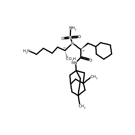 CC12CC3CC(C)(C1)CC(NC(=O)[C@H](CC1CCCCC1)N([C@@H](CCCCN)C(=O)O)S(N)(=O)=O)(C3)C2